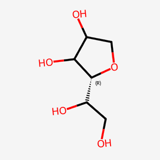 OCC(O)[C@H]1OCC(O)C1O